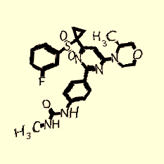 CNC(=O)Nc1ccc(-c2nc(N3CCOC[C@@H]3C)cc(C3(S(=O)(=O)c4cccc(F)c4)CC3)n2)cc1